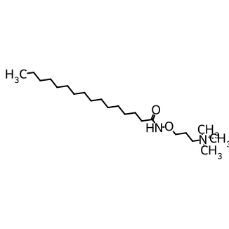 CCCCCCCCCCCCCCCC(=O)NOCCC[N+](C)(C)C